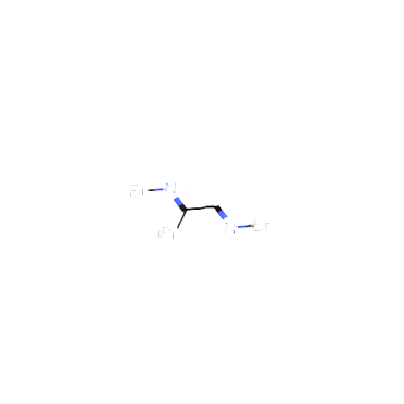 CC/N=C/C(=N/CC)C(C)C